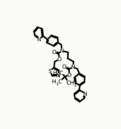 CC(C)(C)OC(=O)N(CCCN(Cc1ccc(-c2ccccn2)cc1)C(=O)OCc1cncs1)Cc1ccc(-c2ccccn2)cc1